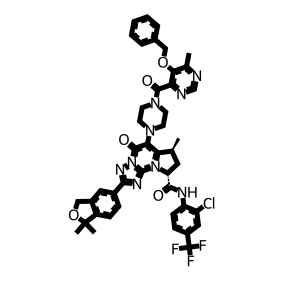 Cc1ncnc(C(=O)N2CCN(c3c4n(c5nc(-c6ccc7c(c6)COC7(C)C)nn5c3=O)[C@@H](C(=O)Nc3ccc(C(F)(F)F)cc3Cl)C[C@@H]4C)CC2)c1OCc1ccccc1